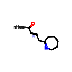 CCCCCCC(=O)/C=C/CC1=NCCCCC1